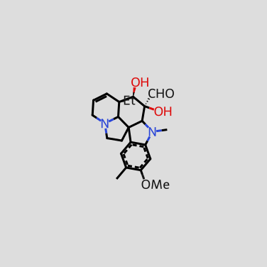 CC[C@]12C=CCN3CCC4(c5cc(C)c(OC)cc5N(C)C4[C@@](O)(C=O)[C@@H]1O)C32